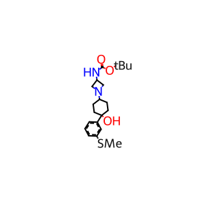 CSc1cccc(C2(O)CCC(N3CC(NC(=O)OC(C)(C)C)C3)CC2)c1